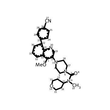 COc1c(N2CCN(C(=O)N(C)C3CCOCC3)CC2)cnc2c(-c3ccc(C#N)cc3)cccc12